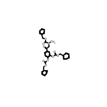 CN(CC(=O)c1ccc(OC(=O)OCc2ccccc2)c(OC(=O)OCc2ccccc2)c1)C(=O)OCc1ccccc1